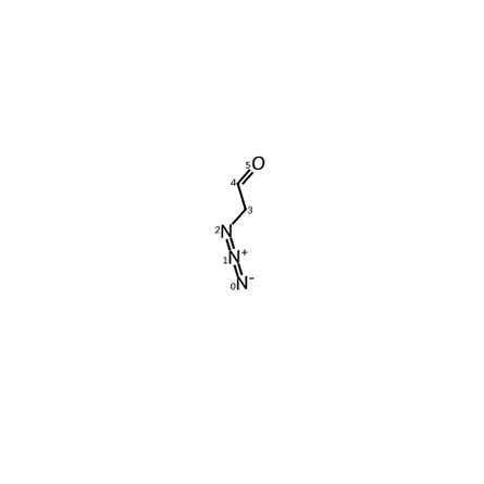 [N-]=[N+]=NCC=O